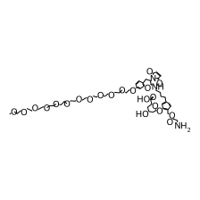 COCCOCCOCCOCCOCCOCCOCCOCCOCCOCCOCCOc1ccc(CC(C(=O)NCCCCc2ccc(COC(=O)CN)c(OC3CC(O)CC(C(=O)O)O3)c2)N2C(=O)C=CC2=O)cc1